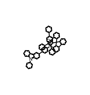 c1ccc(-c2ccc(N(c3ccc(-c4ccc5c(c4)c4ccccc4n5-c4ccccc4)cc3)c3cccc4c3C3(c5ccccc5-4)c4ccccc4-c4oc(-c5ccccc5)c(-c5ccccc5)c43)cc2)cc1